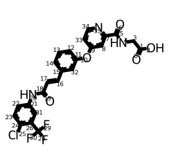 O=C(O)CNC(=O)c1cc(Oc2cccc(C=CC(=O)Nc3ccc(Cl)c(C(F)(F)F)c3)c2)ccn1